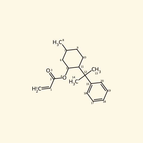 C=CC(=O)OC1CC(C)CCC1C(C)(C)c1ccccc1